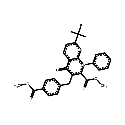 COC(=O)c1ccc(Cc2c(C(=O)OC)n(-c3ccccc3)c3nc(C(F)(F)F)ccc3c2=O)cc1